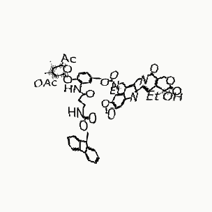 CCN(Cc1c2c(nc3cc4c(cc13)OCO4)-c1cc3c(c(=O)n1C2)COC(=O)[C@]3(O)CC)C(=O)OCc1ccc(O[C@@H]2O[C@H](C(C)=O)[C@@H](C)[C@H](C)[C@H]2OC(C)=O)c(NC(=O)CCNC(=O)OCC2c3ccccc3-c3ccccc32)c1